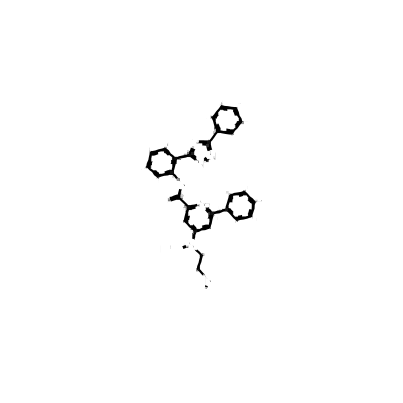 CNCCN(C)c1cc(C(=O)Nc2ccccc2-c2nnc(-c3ccccc3)s2)nc(-c2ccccc2)c1